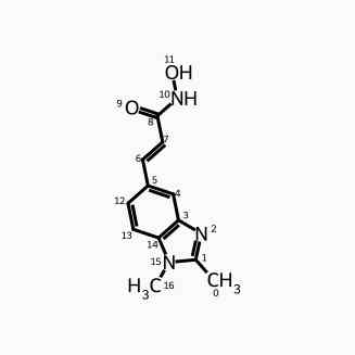 Cc1nc2cc(C=CC(=O)NO)ccc2n1C